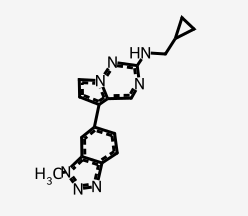 Cn1nnc2ccc(-c3ccn4nc(NCC5CC5)ncc34)cc21